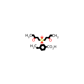 C=CC(=O)CCS(=O)(=O)CCC(=O)C=C.C=Cc1ccc(C(=O)O)cc1